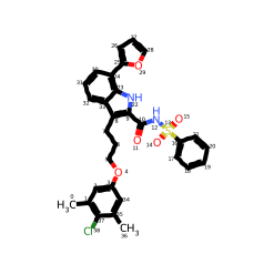 Cc1cc(OCCCc2c(C(=O)NS(=O)(=O)c3ccccc3)[nH]c3c(-c4ccco4)cccc23)cc(C)c1Cl